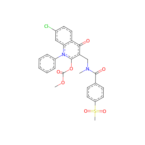 COC(=O)Oc1c(CN(C)C(=O)c2ccc(S(C)(=O)=O)cc2)c(=O)c2ccc(Cl)cc2n1-c1ccccc1